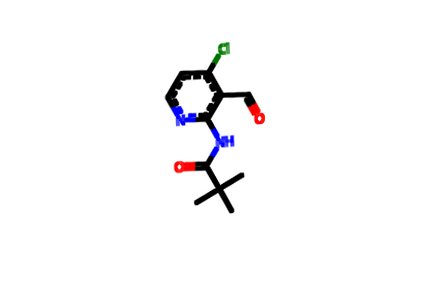 CC(C)(C)C(=O)Nc1nccc(Cl)c1C=O